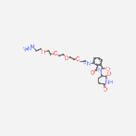 [N-]=[N+]=NCCOCCOCCOCCOCCNc1cccc2c1C(=O)N(C1CCC(=O)NC1=O)C2=O